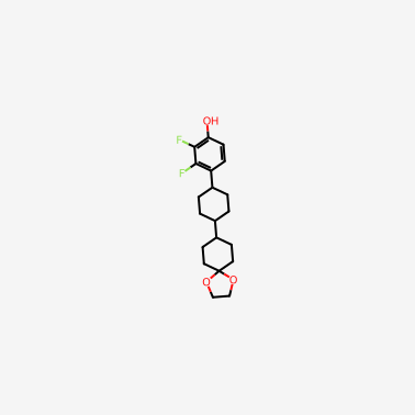 Oc1ccc(C2CCC(C3CCC4(CC3)OCCO4)CC2)c(F)c1F